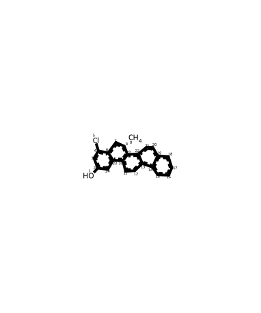 C.Oc1cc(Cl)c2ccc3c(ccc4c5ccccc5ccc43)c2c1